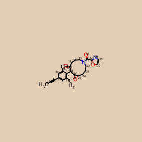 CC#Cc1cc(C)c(C2C(=O)CCCN(C(=O)c3ncco3)CCCC3OC32)c(C)c1